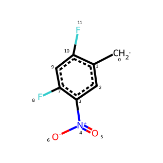 [CH2]c1cc([N+](=O)[O-])c(F)cc1F